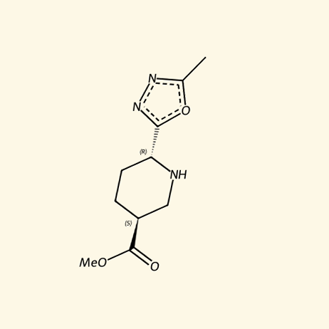 COC(=O)[C@H]1CC[C@H](c2nnc(C)o2)NC1